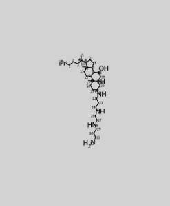 CC(C)CCC[C@@H](C)[C@H]1CCC2C3C(CC[C@@]21C)[C@@]1(C)CC[C@H](NCCCNCCNCCCN)C[C@H]1C[C@H]3O